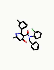 Cc1cccc(-c2[nH]c(C)cc(=O)c2C(=O)N(Cc2ccccc2)c2ccccc2Cl)c1